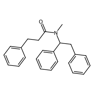 CN(C(=O)CCc1ccccc1)C(Cc1ccccc1)c1ccccc1